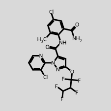 Cc1cc(Cl)cc(C(N)=O)c1NC(=O)c1cc(OC(F)(F)C(F)C(F)F)nn1-c1ncccc1Cl